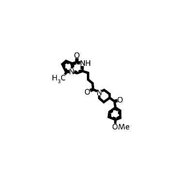 COc1ccc(C(=O)C2CCN(C(=O)CCCc3cn4c(C)ccc4c(=O)[nH]3)CC2)cc1